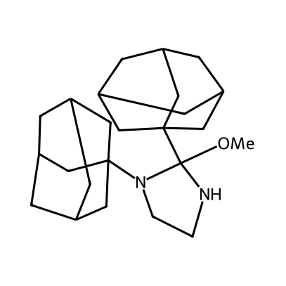 COC1(C23CC4CC(CC(C4)C2)C3)NCCN1C12CC3CC(CC(C3)C1)C2